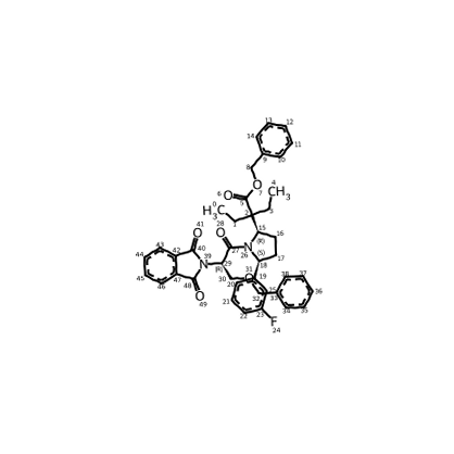 CCC(CC)(C(=O)OCc1ccccc1)[C@H]1CC[C@@H](c2cccc(F)c2)N1C(=O)[C@@H](COCc1ccccc1)N1C(=O)c2ccccc2C1=O